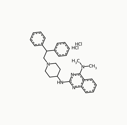 CN(C)c1nc(NC2CCN(CC(c3ccccc3)c3ccccc3)CC2)nc2ccccc12.Cl.Cl